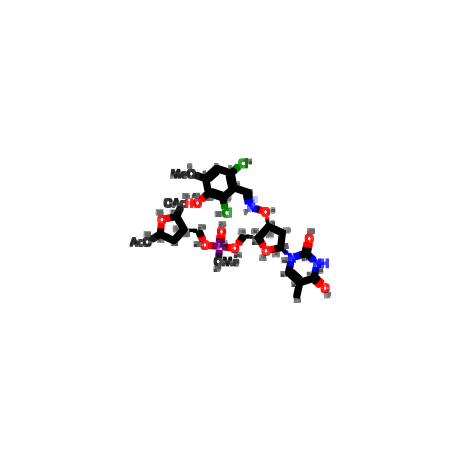 COc1cc(Cl)c(/C=N/O[C@@H]2C[C@H](n3cc(C)c(=O)[nH]c3=O)O[C@@H]2COP(=O)(OC)OC[C@@H]2CC(OC(C)=O)OC2OC(C)=O)c(Cl)c1O